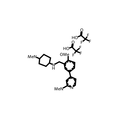 CNc1cc(-c2ccc(OC)c(CNC3CCC(NC)CC3)c2)ccn1.O=C(O)C(F)(F)F.O=C(O)C(F)(F)F